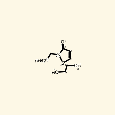 CCCCCCCCn1sccc1=O.OCCO